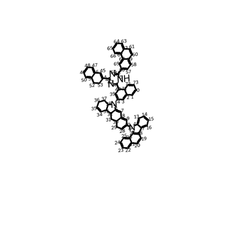 C1=CC2=CC(N3C4=CC5=CC(n6c7ccccc7c7ccc8ccccc8c76)=CCC5CC4C4C=CCCC43)=CC(C3N=C(C4=Cc5ccccc5CC4)N=C(c4ccc5ccc6ccccc6c5c4)N3)C2C=C1